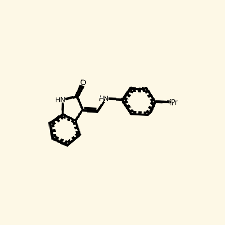 CC(C)c1ccc(NC=C2C(=O)Nc3ccccc32)cc1